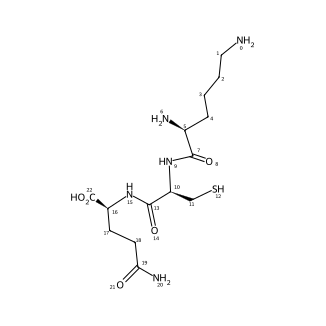 NCCCC[C@H](N)C(=O)N[C@@H](CS)C(=O)N[C@@H](CCC(N)=O)C(=O)O